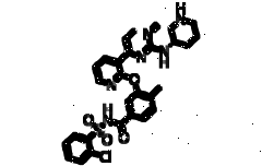 C=N/C(=N\C(=C/C)c1cccnc1Oc1cc(C(=O)NS(=O)(=O)c2ccccc2Cl)ccc1C)N[C@H]1CCCNC1